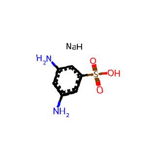 Nc1cc(N)cc(S(=O)(=O)O)c1.[NaH]